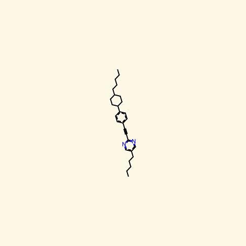 CCCCCc1cnc(C#Cc2ccc(C3CCC(CCCCC)CC3)cc2)nc1